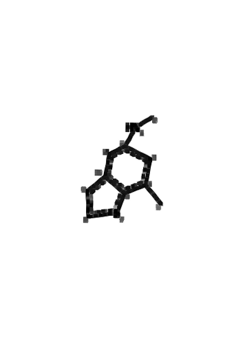 CNc1cc(C)c2sccc2c1